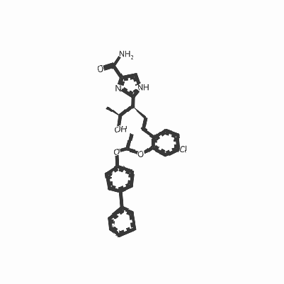 CC(Oc1ccc(-c2ccccc2)cc1)Oc1ccccc1CC[C@H](c1nc(C(N)=O)c[nH]1)[C@H](C)O.Cl